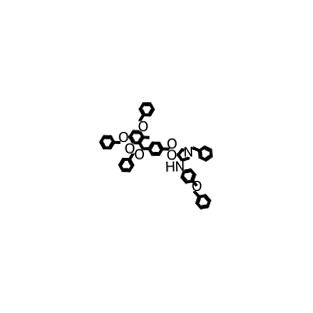 Cc1c(OCc2ccccc2)cc(OCc2ccccc2)c(OCc2ccccc2)c1C(=O)c1ccc(C(=O)OC2CN(Cc3ccccc3)CC2Nc2ccc(OCc3ccccc3)cc2)cc1